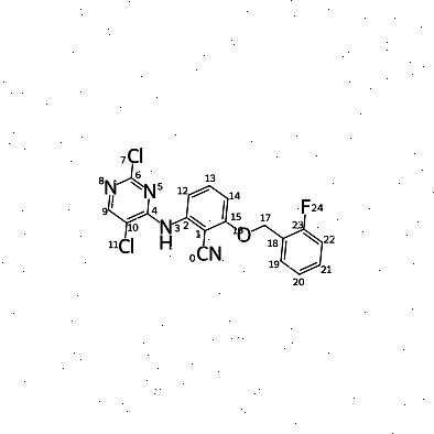 N#Cc1c(Nc2nc(Cl)ncc2Cl)cccc1OCc1ccccc1F